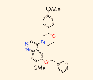 COc1ccc(C2CN(c3cnnc4cc(OC)c(OCc5ccccc5)cc34)CCO2)cc1